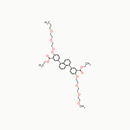 CCCOCCOCCOOc1ccc(-c2cccc3c(-c4ccc(OCCOCCOCCOC)c(C(=O)OCC)c4)cccc23)cc1C(=O)OCC